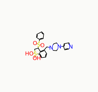 O=S(=O)(c1ccccc1)C1CS(O)(O)c2cccc(CN3CCN(c4ccncc4)CC3)c21